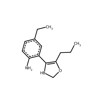 CCCC1=C(c2cc(CC)ccc2N)BCO1